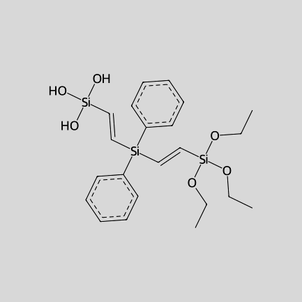 CCO[Si](C=C[Si](C=C[Si](O)(O)O)(c1ccccc1)c1ccccc1)(OCC)OCC